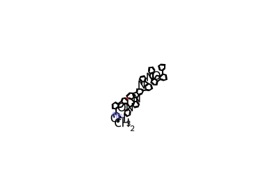 C=C/C=C\C(=C/C)c1cccc2c1oc1c(N(c3ccccc3)c3cccc4c3c3cccc5c6cc7c(cc6n4c53)c3cccc4c5c(N(c6ccccc6)c6cccc8c6oc6c(-c9ccccc9)cccc68)cccc5n7c34)cccc12